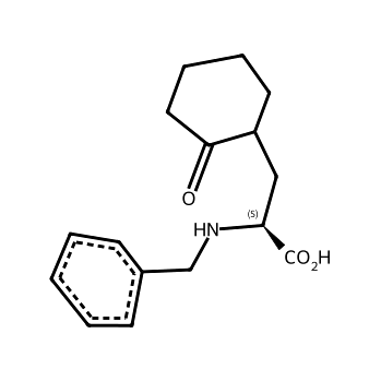 O=C1CCCCC1C[C@H](NCc1ccccc1)C(=O)O